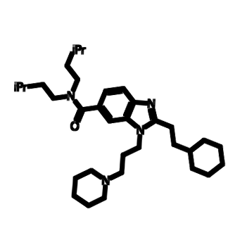 CC(C)CCN(CCC(C)C)C(=O)c1ccc2nc(CCC3CCCCC3)n(CCCN3CCCCC3)c2c1